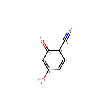 N#CC1C=CC(O)=CC1=O